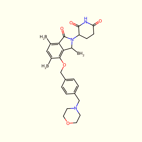 Bc1cc(B)c2c(c1OCc1ccc(CN3CCOCC3)cc1)C(B)N(C1CCC(=O)NC1=O)C2=O